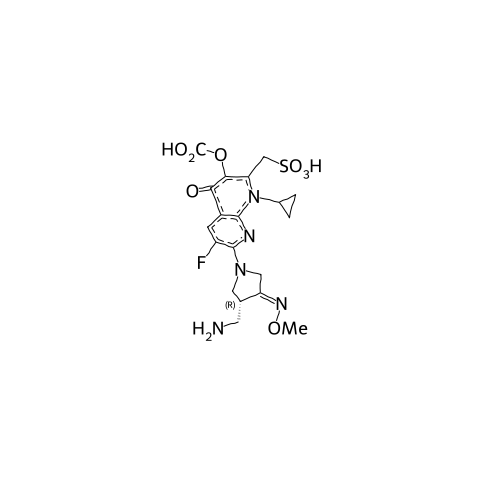 CON=C1CN(c2nc3c(cc2F)c(=O)c(OC(=O)O)c(CS(=O)(=O)O)n3C2CC2)C[C@H]1CN